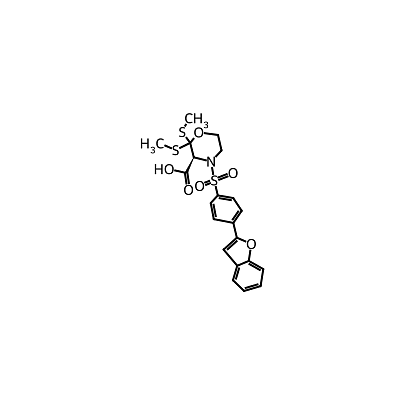 CSC1(SC)OCCN(S(=O)(=O)c2ccc(-c3cc4ccccc4o3)cc2)[C@H]1C(=O)O